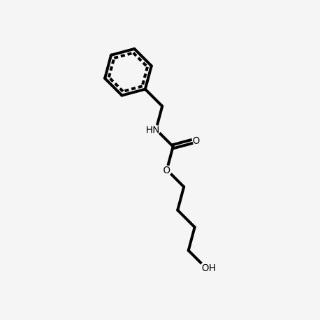 O=C(NCc1ccccc1)OCCCCO